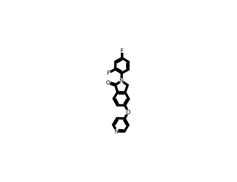 O=C1c2ccc(Oc3ccncc3)cc2CN1c1ccc(F)cc1F